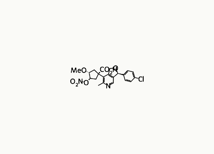 CO[C@@H]1C[C@](C(=O)O)(c2c(C)ncc3c2CO[C@H]3c2ccc(Cl)cc2)C[C@H]1O[N+](=O)[O-]